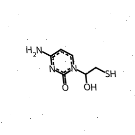 Nc1ccn(C(O)CS)c(=O)n1